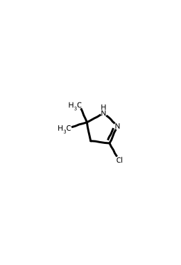 CC1(C)CC(Cl)=NN1